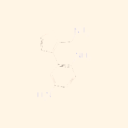 NCc1occc1-c1cc(N)ccc1N